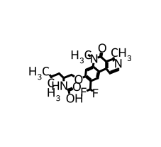 Cc1nccc2c1c(=O)n(C)c1cc(OCC(CC(C)C)NC(=O)O)c(C(F)F)cc21